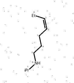 CC/C=C\CCCNC(C)C